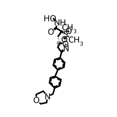 C[C@@](C[C@H]1CC(c2ccc(-c3ccc(CN4CCOCC4)cc3)cc2)=NO1)(C(=O)NO)S(C)(=O)=O